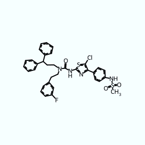 CS(=O)(=O)Nc1ccc(-c2nc(NC(=O)N(CCc3cccc(F)c3)CCC(c3ccccc3)c3ccccc3)sc2Cl)cc1